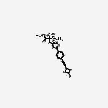 CC(CC1CC(c2ccc(C#CC3CC(F)C3)cc2)=NO1)(C(=O)NO)S(C)(=O)=O